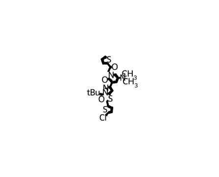 CN(C)c1cc(-c2cc(SCc3ccc(Cl)s3)n(C(=O)C(C)(C)C)n2)c(=O)n(CC(=O)c2cccs2)c1